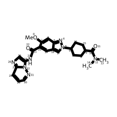 COc1cc2nn(C3CCC(C(=O)N(C)C)CC3)cc2cc1C(=O)Nc1cnc2cccnn12